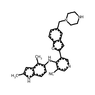 Cc1cc2c(C)c(Nc3c(C#N)cncc3-c3cc4cc(CN5CCNCC5)ccc4o3)ccc2[nH]1